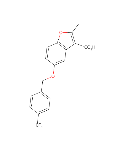 Cc1oc2ccc(OCc3ccc(C(F)(F)F)cc3)cc2c1C(=O)O